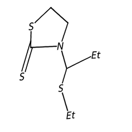 CCSC(CC)N1CCSC1=S